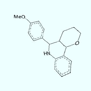 COc1ccc(C2Nc3ccccc3C3OCCCC23)cc1